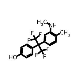 CNc1cc(C(c2ccc(O)cc2)(C(F)(F)F)C(F)(F)F)ccc1C